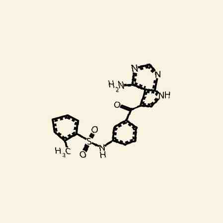 Cc1ccccc1S(=O)(=O)Nc1cccc(C(=O)c2c[nH]c3ncnc(N)c23)c1